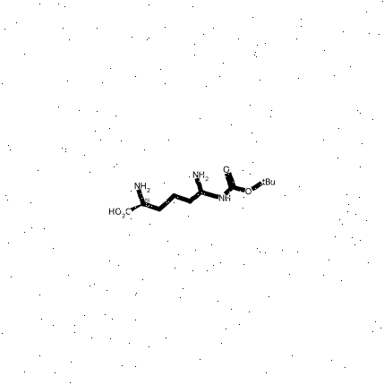 CC(C)(C)OC(=O)NC(N)CCC[C@H](N)C(=O)O